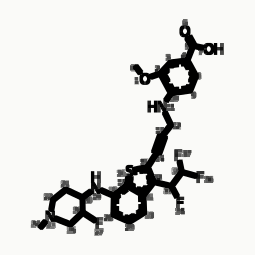 COc1cc(C(=O)O)ccc1NCC#Cc1sc2c(NC3CCN(C)CC3F)cccc2c1C(F)C(F)F